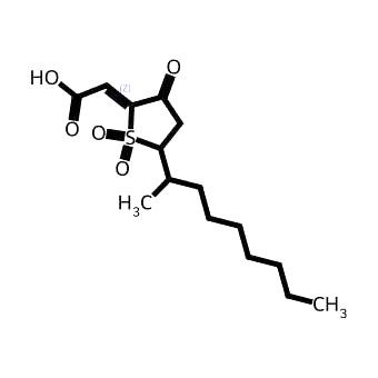 CCCCCCCC(C)C1CC(=O)/C(=C/C(=O)O)S1(=O)=O